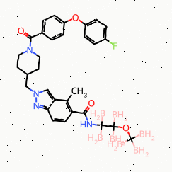 BC(B)(B)OC(B)(B)C(B)(B)NC(=O)c1ccc2nn(CC3CCN(C(=O)c4ccc(Oc5ccc(F)cc5)cc4)CC3)cc2c1C